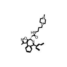 C=C/C=C(\C=C)C1=N[C@@H](CC(=O)NCCCN2CCN(C)CC2)c2onc(C)c2-c2ccccc21